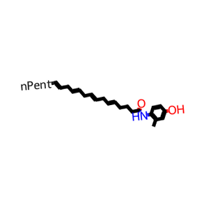 CCCCCC=CCC=CCC=CCC=CCCCC(=O)Nc1ccc(O)cc1C